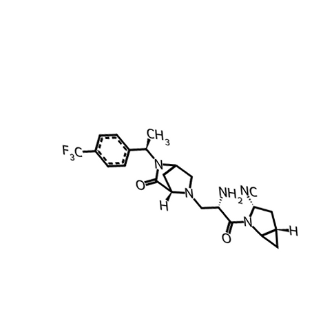 C[C@H](c1ccc(C(F)(F)F)cc1)N1C(=O)[C@@H]2CC1CN2C[C@H](N)C(=O)N1C2C[C@H]2C[C@H]1C#N